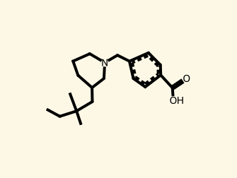 CCC(C)(C)CC1CCCN(Cc2ccc(C(=O)O)cc2)C1